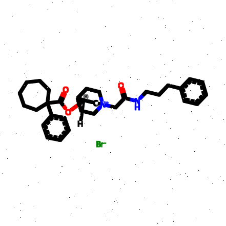 O=C(C[N+]12CCC(CC1)[C@@H](OC(=O)C1(c3ccccc3)CCCCCC1)C2)NCCCc1ccccc1.[Br-]